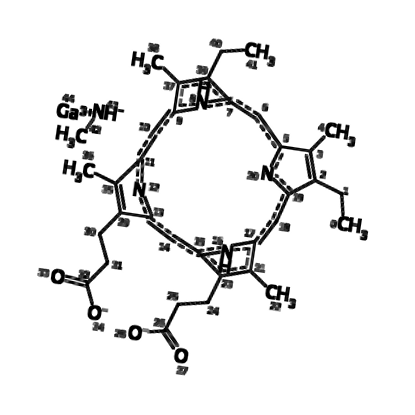 CCC1=C(C)c2cc3[nH]c(cc4nc(cc5[nH]c(cc1n2)c(C)c5CCC(=O)[O-])C(CCC(=O)[O-])=C4C)c(C)c3CC.C[NH-].[Ga+3]